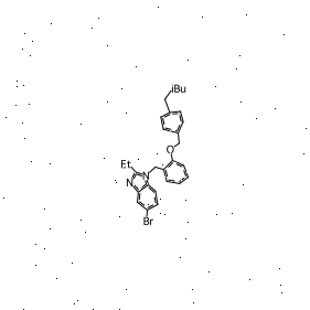 CCc1nc2cc(Br)ccc2n1Cc1ccccc1OCc1ccc(CC(C)CC)cc1